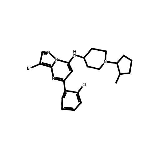 CC1CCCC1N1CCC(Nc2cc(-c3ccccc3Cl)nc3c(Br)cnn23)CC1